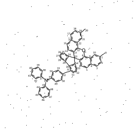 Cc1ccc2ccc3c(c2c1)Oc1c(ccc2ccc(C)cc12)C31c2ccccc2-c2c(-c3ccc(N(c4ccccc4)c4ccccc4)cc3)cccc21